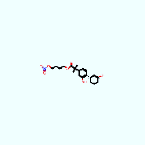 CC(C)(C(=O)OCCCCO[N+](=O)[O-])c1ccc([C@H]2CCC[C@H](O)C2)c(O)c1